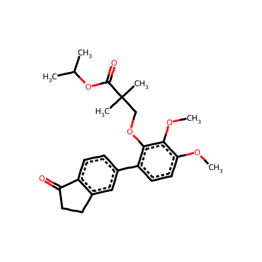 COc1ccc(-c2ccc3c(c2)CCC3=O)c(OCC(C)(C)C(=O)OC(C)C)c1OC